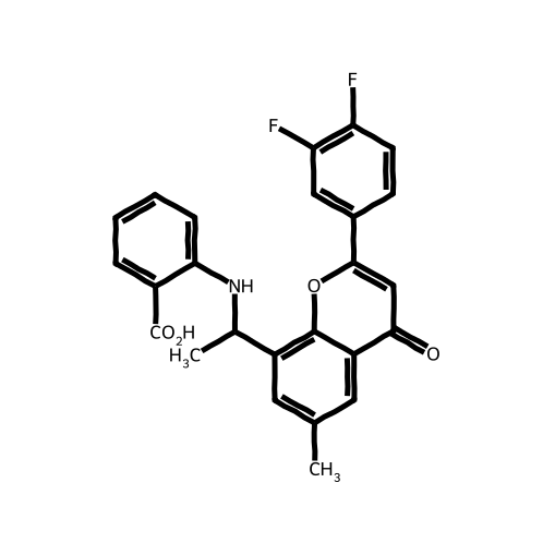 Cc1cc(C(C)Nc2ccccc2C(=O)O)c2oc(-c3ccc(F)c(F)c3)cc(=O)c2c1